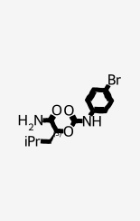 CC(C)C[C@H](OC(=O)Nc1ccc(Br)cc1)C(N)=O